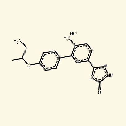 CC(CN)Oc1ccc(-c2cc(-c3n[nH]c(=O)o3)ccc2C(F)(F)F)cc1.Cl